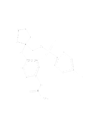 COC(=O)Cc1ccc(CC2(CNS(=O)(=O)c3ccc(F)cc3)CCCC2)cc1